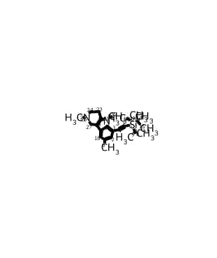 Cc1cc(C#C[Si](C(C)C)(C(C)C)C(C)C)c2c(c1)c1c(n2C)CCN(C)C1